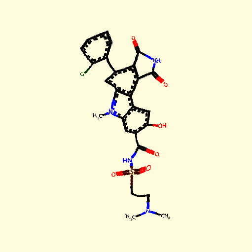 CN(C)CCS(=O)(=O)NC(=O)c1cc2c(cc1O)c1c3c(c(-c4ccccc4Cl)cc1n2C)C(=O)NC3=O